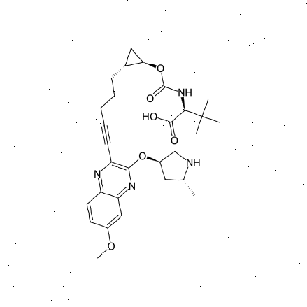 COc1ccc2nc(C#CCCC[C@@H]3C[C@H]3OC(=O)N[C@H](C(=O)O)C(C)(C)C)c(O[C@H]3CN[C@H](C)C3)nc2c1